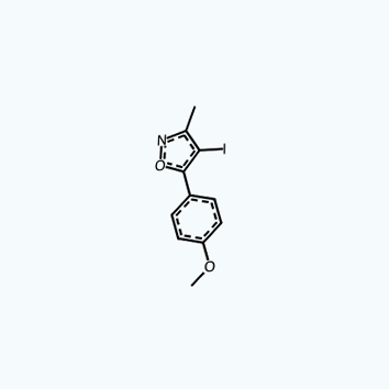 COc1ccc(-c2onc(C)c2I)cc1